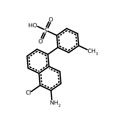 Cc1ccc(S(=O)(=O)O)c(-c2cccc3c(Cl)c(N)ccc23)c1